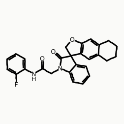 O=C(CN1C(=O)C2(COc3cc4c(cc32)CCCC4)c2ccccc21)Nc1ccccc1F